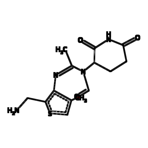 C/C(=N/c1c(C)csc1CN)N(C=O)C1CCC(=O)NC1=O